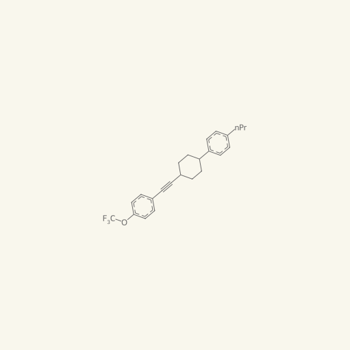 CCCc1ccc(C2CCC(C#Cc3ccc(OC(F)(F)F)cc3)CC2)cc1